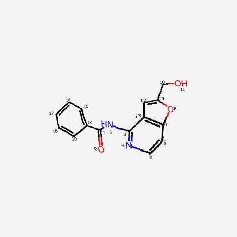 O=C(Nc1nccc2oc(CO)cc12)c1ccccc1